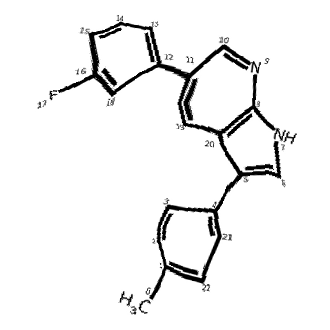 Cc1ccc(-c2c[nH]c3ncc(-c4cccc(F)c4)cc23)cc1